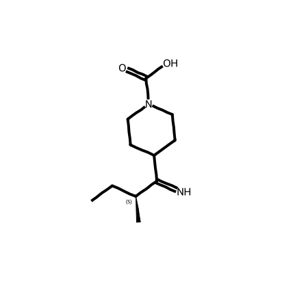 CC[C@H](C)C(=N)C1CCN(C(=O)O)CC1